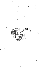 NCCCCC(CP(=O)(O)O)(CP(=O)(O)O)C(=O)O